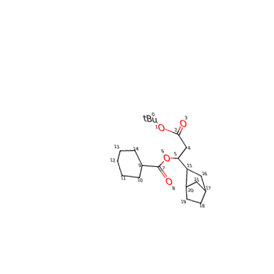 CC(C)(C)OC(=O)CC(OC(=O)C1CCCCC1)C1CC2CCC1C2